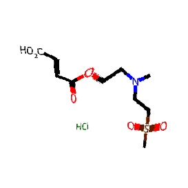 CN(CCOC(=O)C=CC(=O)O)CCS(C)(=O)=O.Cl